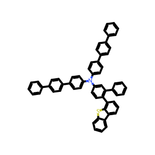 c1ccc(-c2ccc(-c3ccc(N(c4ccc(-c5ccc(-c6ccccc6)cc5)cc4)c4ccc(-c5cccc6c5sc5ccccc56)c(-c5ccccc5)c4)cc3)cc2)cc1